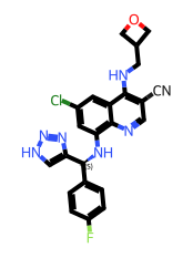 N#Cc1cnc2c(N[C@@H](c3ccc(F)cc3)c3c[nH]nn3)cc(Cl)cc2c1NCC1COC1